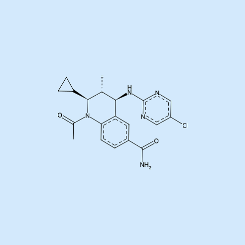 CC(=O)N1c2ccc(C(N)=O)cc2[C@H](Nc2ncc(Cl)cn2)[C@@H](C)[C@@H]1C1CC1